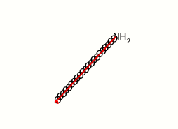 CC(C)CC(C)C(C)CCOCCCCOCCCCOCCCCOCCCCOCCCCOCCCCOCCCCOCCCCOCCCCOCCCCOCCCCOCCCCOCCCCOCCCCOCCCCOCCCCOCCCCOCCCCOCCCCOCCCCOCCCN